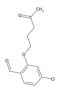 CC(=O)CCCOc1cc(Cl)ccc1C=O